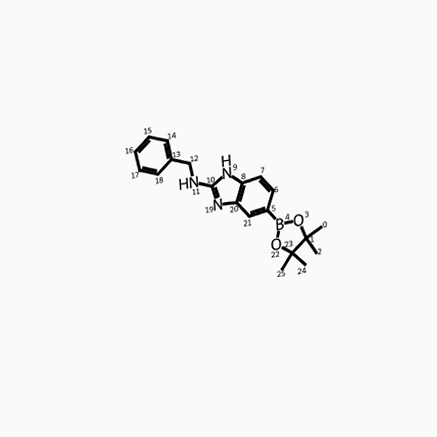 CC1(C)OB(c2ccc3[nH]c(NCc4ccccc4)nc3c2)OC1(C)C